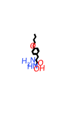 CCCCOc1ccc(CC(N)C(=O)NO)cc1